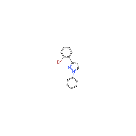 Brc1ccccc1-c1ccn(-c2ccccc2)n1